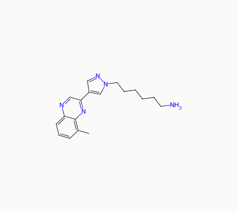 Cc1cccc2ncc(-c3cnn(CCCCCCN)c3)nc12